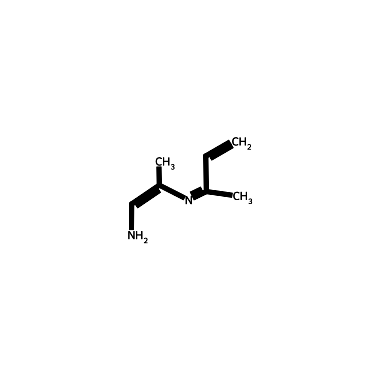 C=C/C(C)=N\C(C)=C/N